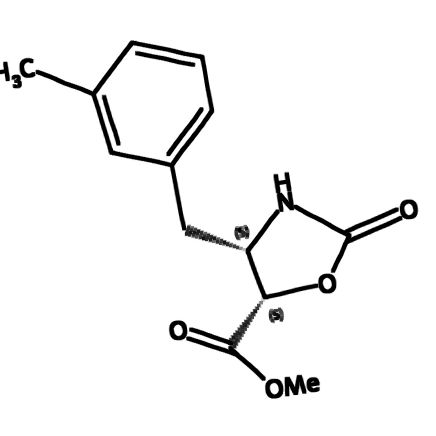 COC(=O)[C@H]1OC(=O)N[C@H]1Cc1cccc(C)c1